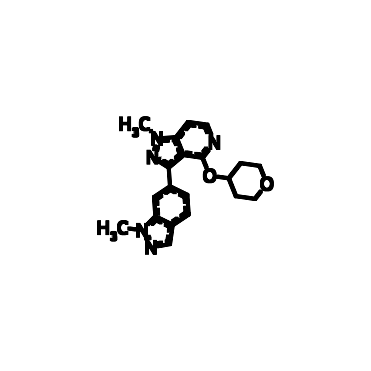 Cn1ncc2ccc(-c3nn(C)c4ccnc(OC5CCOCC5)c34)cc21